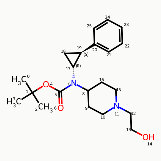 CC(C)(C)OC(=O)N(C1CCN(CCO)CC1)[C@@H]1C[C@H]1c1ccccc1